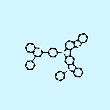 c1ccc(-c2cc(-c3ccc(-n4c5cc6c(cc5c5c7sc8ccccc8c7ccc54)c4ccccc4n6-c4ccccc4)cc3)nc3ccccc23)cc1